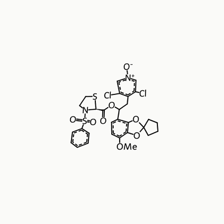 COc1ccc(C(Cc2c(Cl)c[n+]([O-])cc2Cl)OC(=O)[C@@H]2SCCN2S(=O)(=O)c2ccccc2)c2c1OC1(CCCC1)O2